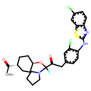 COC(=O)[C@H]1CC[C@H](OC(F)(C(=O)Cc2ccc(Nc3nc4ccc(Cl)cc4s3)c(Cl)c2)N2CCCC2)CC1